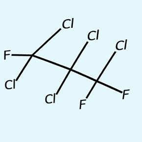 FC(F)(Cl)C(Cl)(Cl)C(F)(Cl)Cl